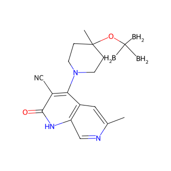 BC(B)(B)OC1(C)CCN(c2c(C#N)c(=O)[nH]c3cnc(C)cc23)CC1